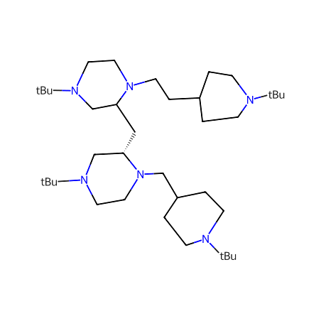 CC(C)(C)N1CCC(CCN2CCN(C(C)(C)C)CC2C[C@H]2CN(C(C)(C)C)CCN2CC2CCN(C(C)(C)C)CC2)CC1